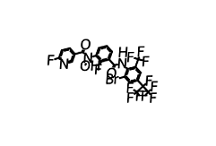 O=C(Nc1c(Br)cc(C(F)(C(F)(F)F)C(F)(F)F)cc1C(F)(F)F)c1cccc(N(O)C(=O)c2ccc(F)nc2)c1F